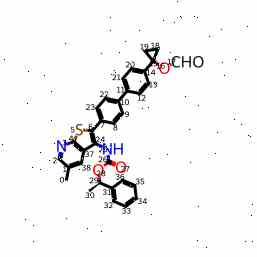 Cc1cnc2sc(-c3ccc(-c4ccc(C5(OC=O)CC5)cc4)cc3)c(NC(=O)O[C@H](C)c3ccccc3)c2c1